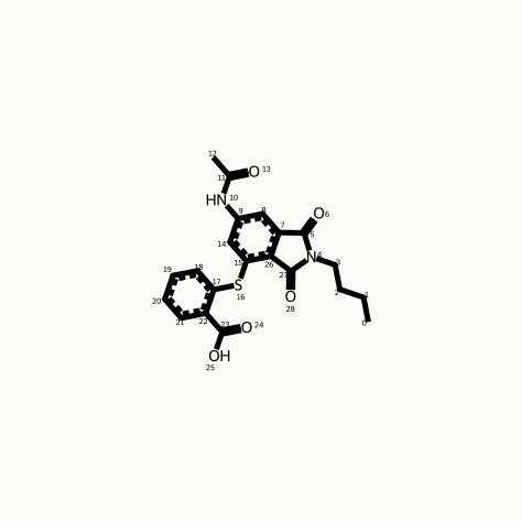 CCCCN1C(=O)c2cc(NC(C)=O)cc(Sc3ccccc3C(=O)O)c2C1=O